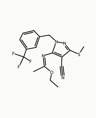 CCOC(C)=Nc1c(C#N)c(SC)nn1Cc1cccc(C(F)(F)F)c1